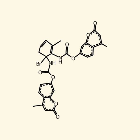 CC1=C(NC(=O)Oc2ccc3c(C)cc(=O)oc3c2)C(Br)(NC(=O)Oc2ccc3c(C)cc(=O)oc3c2)CC=C1